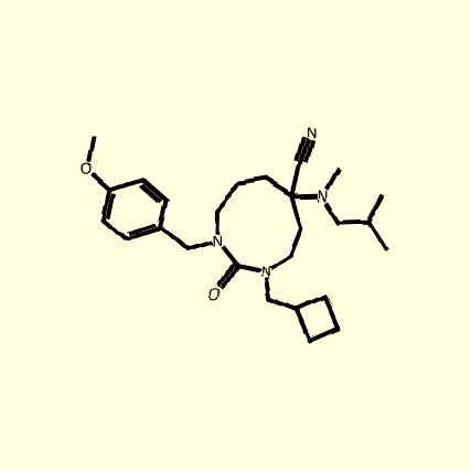 COc1ccc(CN2CCCC(C#N)(N(C)CC(C)C)CCN(CC3CCC3)C2=O)cc1